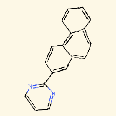 [c]1c(-c2ncccn2)ccc2c1ccc1ccccc12